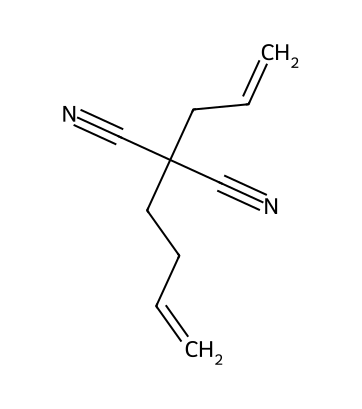 C=CCCC(C#N)(C#N)CC=C